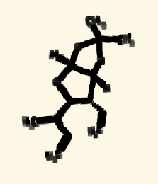 C=CC(C)[C@H]1O[C@@H]2OC(C)(C)O[C@@H]2[C@@H]1C=C